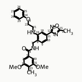 COc1cc(C(=O)NCc2ccc(-c3noc(C)n3)cc2NCCOc2ccccc2)cc(OC)c1C